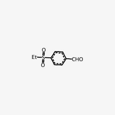 CCS(=O)(=O)c1ccc(C=O)cc1